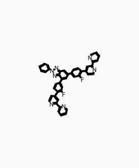 Fc1cc(-c2cc(-c3ccc(-c4ccnc(-c5ccccn5)c4)c(F)c3)c3nn(-c4ccccc4)nc3c2)ccc1-c1ccnc(-c2ccccn2)c1